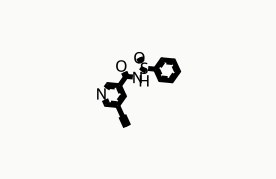 C#Cc1cncc(C(=O)N=[SH](=O)c2ccccc2)c1